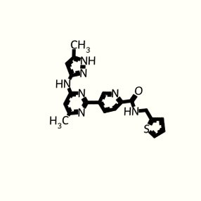 Cc1cc(Nc2cc(C)[nH]n2)nc(-c2ccc(C(=O)NCc3cccs3)nc2)n1